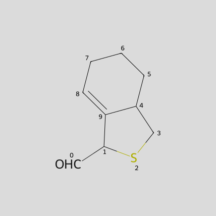 O=CC1SCC2CCCC=C21